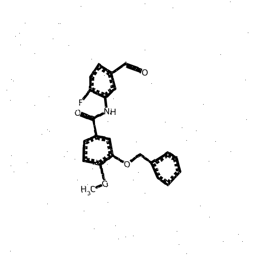 COc1ccc(C(=O)Nc2cc([C]=O)ccc2F)cc1OCc1ccccc1